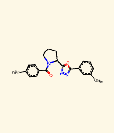 CCCc1ccc(C(=O)N2CCCC2c2nnc(-c3cccc(OC)c3)o2)cc1